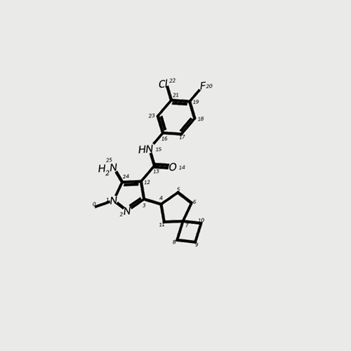 Cn1nc(C2CCC3(CCC3)C2)c(C(=O)Nc2ccc(F)c(Cl)c2)c1N